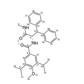 CNC(=O)[C@@H](NC(=O)c1cc(C(C)C)c(OC)c(C(C)C)c1)C(c1ccccc1)c1ccccc1